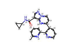 Cc1cccc(-c2ncccc2-c2ccn3ncc(C(=O)NC4CC4)c3n2)n1